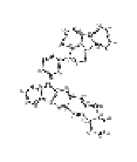 c1cc(-c2ccc3c4c(cccc24)-c2ccccc2-3)cc(-n2c3ccccc3c3cc4cc5c(cc4cc32)oc2ccccc25)c1